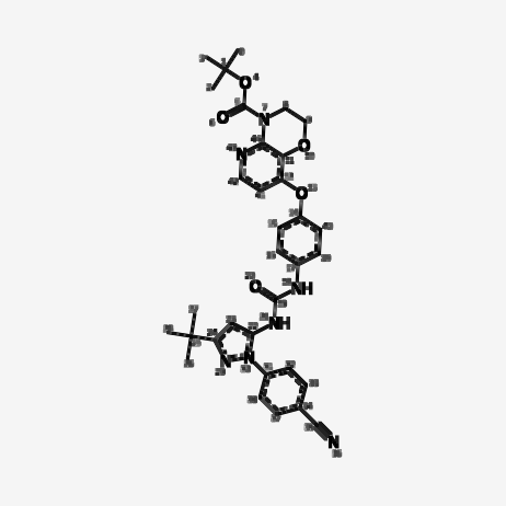 CC(C)(C)OC(=O)N1CCOc2c(Oc3ccc(NC(=O)Nc4cc(C(C)(C)C)nn4-c4ccc(C#N)cc4)cc3)ccnc21